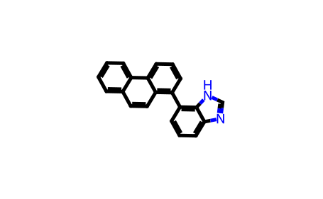 c1ccc2c(c1)ccc1c(-c3cccc4nc[nH]c34)cccc12